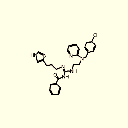 O=C(NC(=NCCCc1c[nH]cn1)NCCN(Cc1ccc(Cl)cc1)c1ccccn1)c1ccccc1